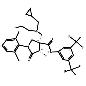 Cc1cccc(C)c1N1C[C@@](CN(CCF)CC2CC2)(C(=O)Nc2cc(C(F)(F)F)cc(C(F)(F)F)c2)[C@H](C)C1=O